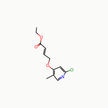 CCOC(=O)/C=C/COc1cc(Cl)ncc1C